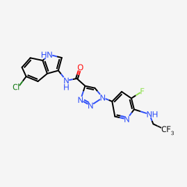 O=C(Nc1c[nH]c2ccc(Cl)cc12)c1cn(-c2cnc(NCC(F)(F)F)c(F)c2)nn1